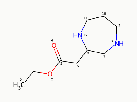 CCOC(=O)CC1CNCCCN1